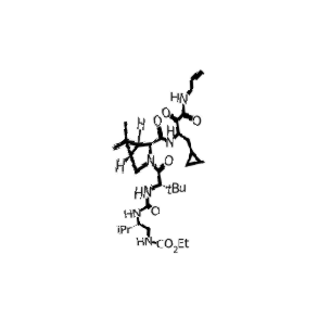 C=CCNC(=O)C(=O)C(CC1CC1)NC(=O)[C@@H]1[C@@H]2[C@H](CN1C(=O)[C@@H](NC(=O)N[C@H](CNC(=O)OCC)C(C)C)C(C)(C)C)C2(C)C